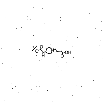 CC(C)(C)OC(=O)NC1CCN(CCCC(=O)O)CC1